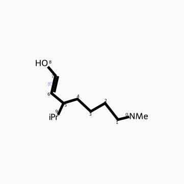 CNCCCCC(/C=C/O)C(C)C